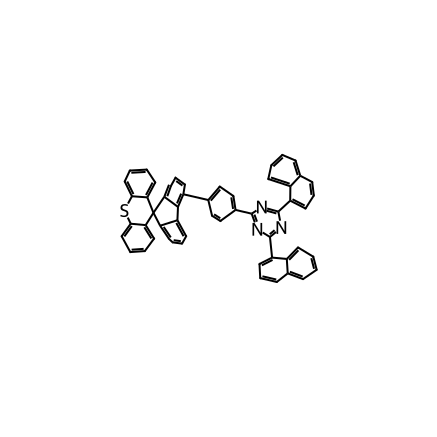 c1ccc2c(c1)Sc1ccccc1C21c2ccccc2-c2c(-c3ccc(-c4nc(-c5cccc6ccccc56)nc(-c5cccc6ccccc56)n4)cc3)cccc21